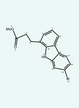 COC(=O)CCc1cccc2c1[nH]c1cc(Br)cnc12